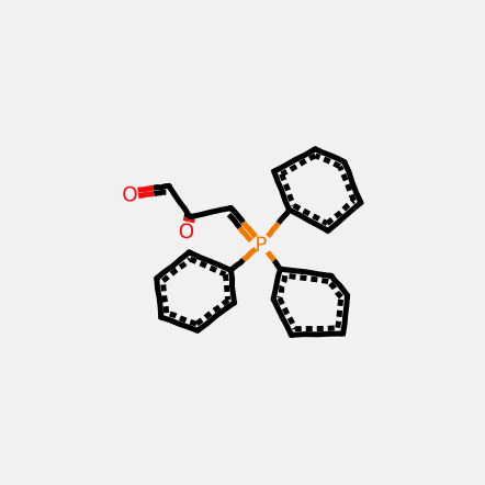 O=CC(=O)C=P(c1ccccc1)(c1ccccc1)c1ccccc1